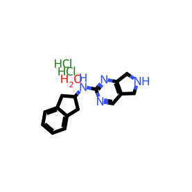 Cl.Cl.O.c1ccc2c(c1)CC(Nc1ncc3c(n1)CNC3)C2